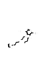 CCCc1nc2c(N)nc(C)c(C)c2n1CCOCCCc1nccs1